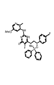 COc1cnc(C)c(Nc2nc(=O)c(F)c(CCC(O[Si](c3ccccc3)(c3ccccc3)C(C)(C)C)c3ccc(F)cc3)[nH]2)c1